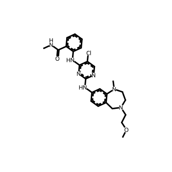 CNC(=O)c1ccccc1Nc1nc(Nc2ccc3c(c2)N(C)CCN(CCOC)C3)ncc1Cl